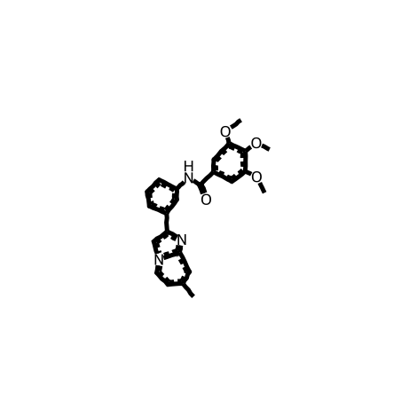 COc1cc(C(=O)Nc2cccc(-c3cn4ccc(C)cc4n3)c2)cc(OC)c1OC